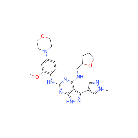 COc1cc(N2CCOCC2)ccc1Nc1nc(NCC2CCCO2)c2c(-c3cnn(C)c3)n[nH]c2n1